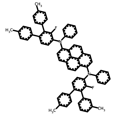 Cc1ccc(-c2ccc(N(c3ccccc3)c3ccc4ccc5c(N(c6ccccc6)c6ccc(-c7ccc(C)cc7)c(-c7cccc(C)c7)c6F)ccc6ccc3c4c65)c(F)c2-c2ccc(C)cc2)cc1